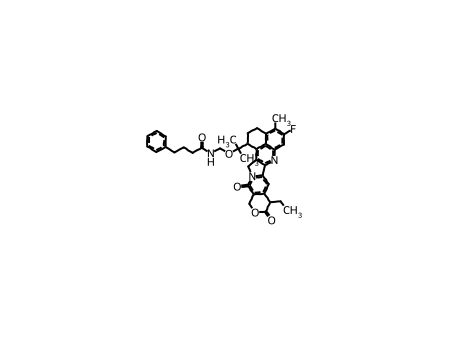 CCC1C(=O)OCc2c1cc1n(c2=O)Cc2c-1nc1cc(F)c(C)c3c1c2C(C(C)(C)OCNC(=O)CCCc1ccccc1)CC3